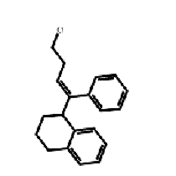 ClCCC=C(c1ccccc1)C1CCCc2ccccc21